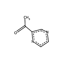 CC(=O)c1[c]nccn1